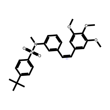 COc1cc(/C=C\c2cccc(N(C)S(=O)(=O)c3ccc(C(C)(C)C)cc3)c2)cc(OC)c1OC